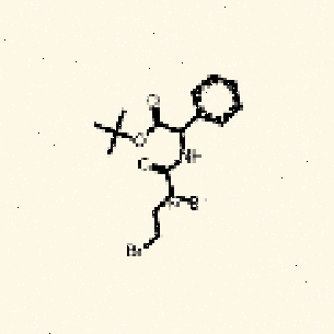 CC(C)(C)OC(=O)C(NC(=O)[C@@H](Br)CCBr)c1ccccc1